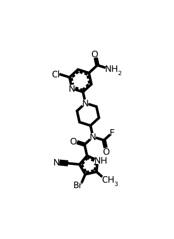 Cc1[nH]c(C(=O)N(C(=O)F)C2CCN(c3cc(C(N)=O)cc(Cl)n3)CC2)c(C#N)c1Br